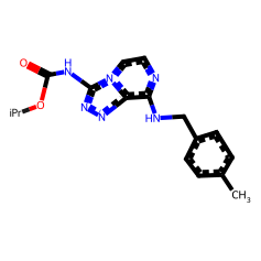 Cc1ccc(CNc2nccn3c(NC(=O)OC(C)C)nnc23)cc1